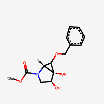 CC(C)(C)OC(=O)N1C[C@H](O)[C@@]2(O)C(OCc3ccccc3)[C@@H]12